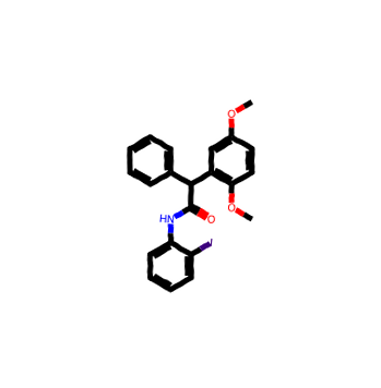 COc1ccc(OC)c(C(C(=O)Nc2ccccc2I)c2ccccc2)c1